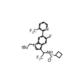 CC(C)(C)Cn1cc(C(N[S+]([O-])C2CCC2)C(F)(F)F)c2cc(F)c(-c3ncccc3C(F)(F)F)cc21